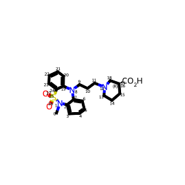 CN1c2ccccc2N(CCCN2CCC[C@@H](C(=O)O)C2)c2ccccc2S1(=O)=O